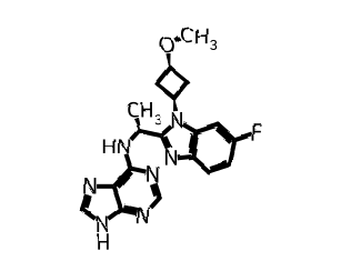 CO[C@H]1C[C@@H](n2c([C@H](C)Nc3ncnc4[nH]cnc34)nc3ccc(F)cc32)C1